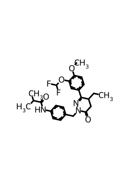 CCC1CC(=O)N(Cc2ccc(NC(=O)C(C)C)cc2)N=C1c1ccc(OC)c(OC(F)F)c1